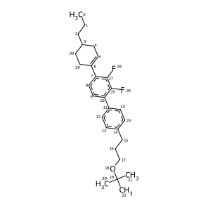 CCCC1CC=C(c2ccc(-c3ccc(CCCOC(C)(C)C)cc3)c(F)c2F)CC1